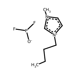 CCCC[n+]1ccn(C)c1.[O-]P(F)F